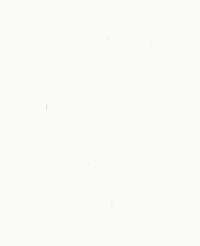 C=COCC(C)OCC=S(=O)=O